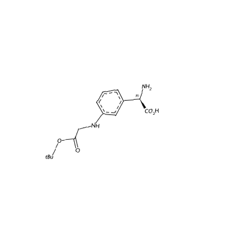 CC(C)(C)OC(=O)CNc1cccc([C@@H](N)C(=O)O)c1